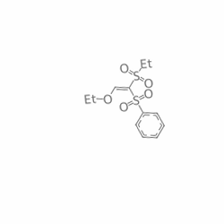 CCO/C=C(/S(=O)(=O)CC)S(=O)(=O)c1ccccc1